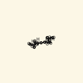 O=C(Nc1ccc(-c2ccc(-c3cnc([C@@H]4COCCN4C(=O)[C@H](NC(=O)N4CCOCC4)c4ccccc4)[nH]3)cc2)cc1)[C@@H]1COCCN1C(=O)[C@H](NC(=O)N1CCOCC1)c1ccccc1